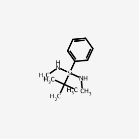 CN[Si](NC)(c1ccccc1)C(C)(C)C